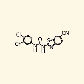 N#Cc1ccc2nc(NC(=O)Nc3ccc(Cl)c(Cl)c3)sc2c1